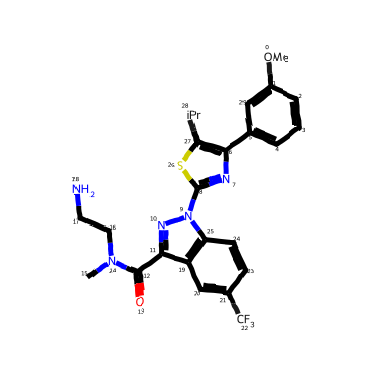 COc1cccc(-c2nc(-n3nc(C(=O)N(C)CCN)c4cc(C(F)(F)F)ccc43)sc2C(C)C)c1